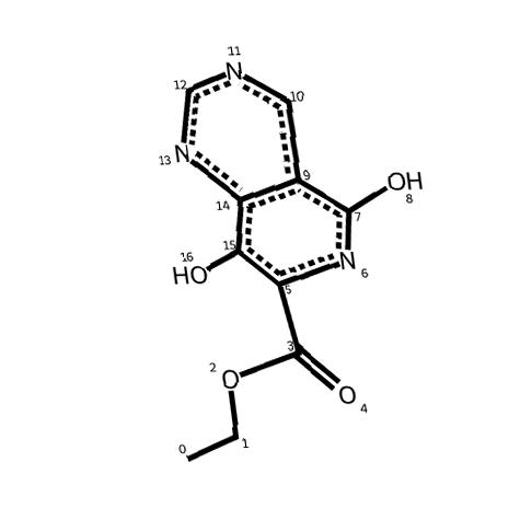 CCOC(=O)c1nc(O)c2cncnc2c1O